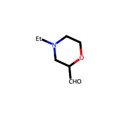 CCN1CCOC(C=O)C1